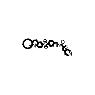 O=C(NCc1ccc(S(=O)(=O)c2ccc3c(c2)CCC2(CCCCCCCCC2)N3)cc1)c1cc2ccncc2s1